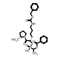 CC(OC(=O)c1ccccc1)P(=O)(O)O[C@@H](CCCCNC(=O)OCc1ccccc1)C(=O)N1CCC[C@H]1C(=O)O